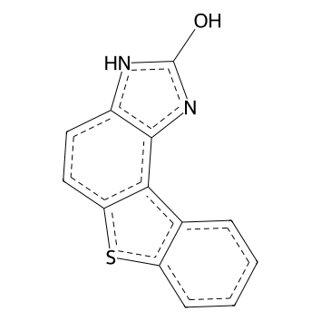 Oc1nc2c(ccc3sc4ccccc4c32)[nH]1